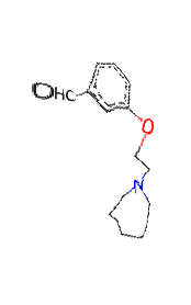 O=Cc1cccc(OCCN2CCCCC2)c1